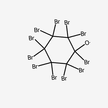 [O]C1(Br)C(Br)(Br)C(Br)(Br)C(Br)(Br)C(Br)(Br)C1(Br)Br